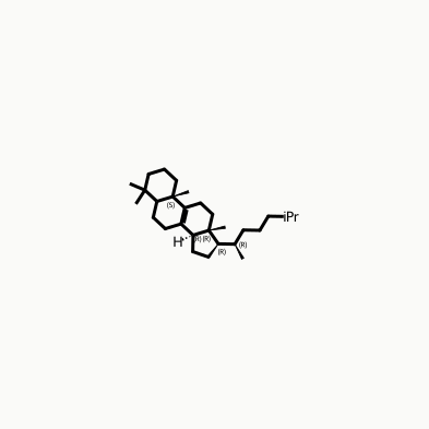 CC(C)CCC[C@@H](C)[C@H]1CC[C@H]2C3=C(CC[C@]12C)[C@@]1(C)CCCC(C)(C)C1CC3